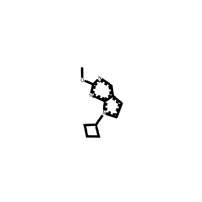 COc1ncc2ccn(C3CCC3)c2n1